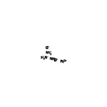 [Cl-].[Cl-].[NH2-].[NH2-].[NH2-].[Pt+2]